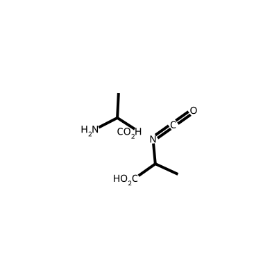 CC(N)C(=O)O.CC(N=C=O)C(=O)O